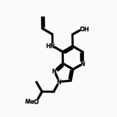 C=CCNc1c(CO)cnc2cn(CC(C)OC)nc12